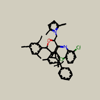 Cc1cc(C)c(C(OC(Cn2c(C)ccc2C)/C(=N/c2c(Cl)cccc2Cl)C2CC2C(C)(C)c2ccccc2)c2c(C)cc(C)cc2C)c(C)c1